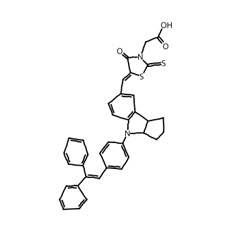 O=C(O)CN1C(=O)C(=Cc2ccc3c(c2)C2CCCC2N3c2ccc(C=C(c3ccccc3)c3ccccc3)cc2)SC1=S